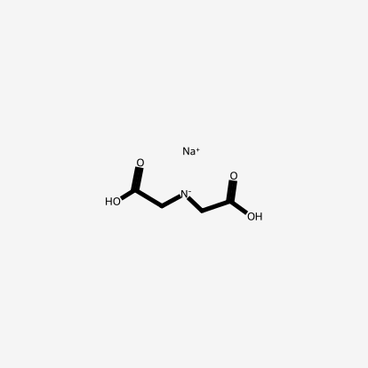 O=C(O)C[N-]CC(=O)O.[Na+]